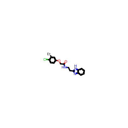 CCc1cc(OCC(=O)NCCc2nc3ccccc3[nH]2)ccc1Cl